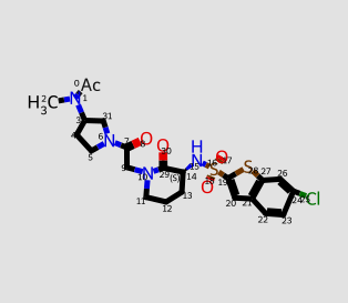 CC(=O)N(C)C1CCN(C(=O)CN2CCC[C@H](NS(=O)(=O)c3cc4ccc(Cl)cc4s3)C2=O)C1